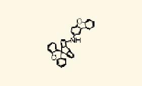 c1ccc2c(c1)Oc1ccccc1C21c2ccccc2-c2c(Nc3ccc4oc5ccccc5c4c3)cccc21